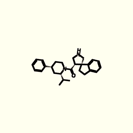 CC(C)[C@@H]1C[C@H](c2ccccc2)CCN1C(=O)[C@@H]1CNC[C@]12CCc1ccccc12